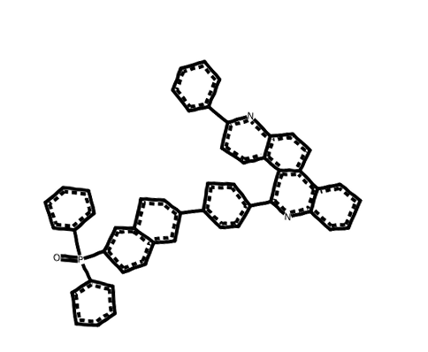 O=P(c1ccccc1)(c1ccccc1)c1ccc2cc(-c3ccc(-c4nc5ccccc5c5ccc6nc(-c7ccccc7)ccc6c45)cc3)ccc2c1